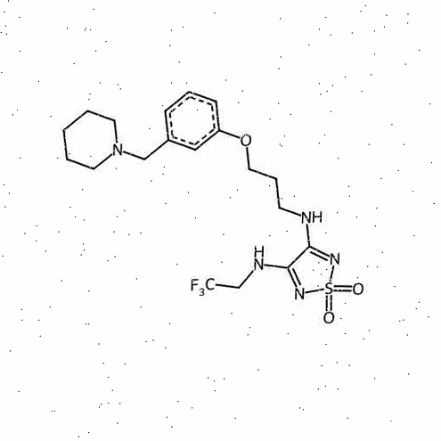 O=S1(=O)N=C(NCCCOc2cccc(CN3CCCCC3)c2)C(NCC(F)(F)F)=N1